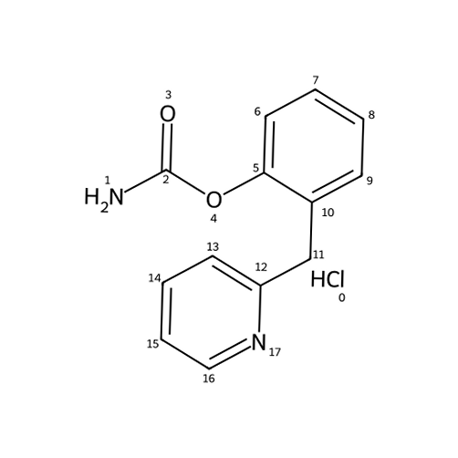 Cl.NC(=O)Oc1ccccc1Cc1ccccn1